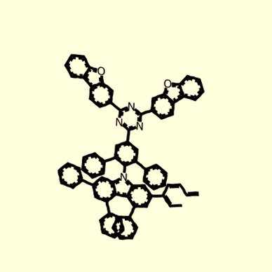 C=C/C=C\C(=C/C)c1cc(-c2ccccc2)c2c3c(-c4ccccc4)cc(-c4ccccc4)cc3n(-c3c(-c4ccccc4)cc(-c4nc(-c5ccc6c(c5)oc5ccccc56)nc(-c5ccc6c(c5)oc5ccccc56)n4)cc3-c3ccccc3)c2c1